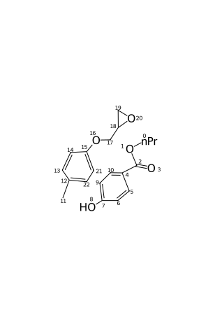 CCCOC(=O)c1ccc(O)cc1.Cc1ccc(OCC2CO2)cc1